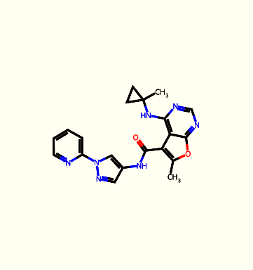 Cc1oc2ncnc(NC3(C)CC3)c2c1C(=O)Nc1cnn(-c2ccccn2)c1